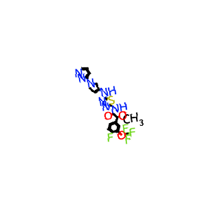 COC(C(=O)Nc1nnc(NC2CCN(c3cccnn3)C2)s1)c1ccc(F)c(OC(F)(F)F)c1